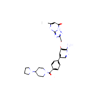 Cc1cc(=O)n2nc(COc3cc(-c4ccc(C(=O)N5CCC(N6CCCC6)CC5)cc4)cnc3N)nc2[nH]1